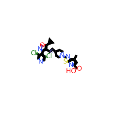 Cc1cc(C(=O)O)nc2sc(N3CCC(/C=C/c4c(-c5c(Cl)cncc5Cl)noc4C4CC4)CC3)nc12